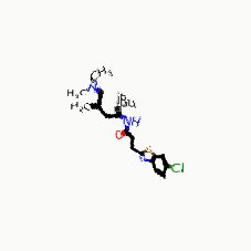 C=C(CC(NC(=O)CCc1nc2ccc(Cl)cc2s1)C(C)CC)CN(C)C